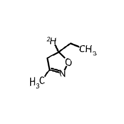 [2H]C1(CC)CC(C)=NO1